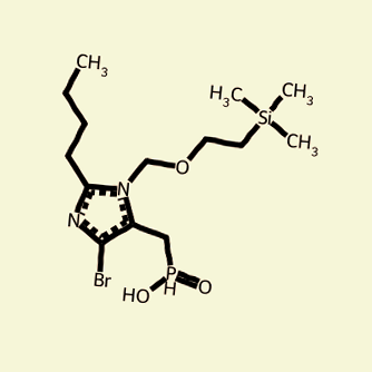 CCCCc1nc(Br)c(C[PH](=O)O)n1COCC[Si](C)(C)C